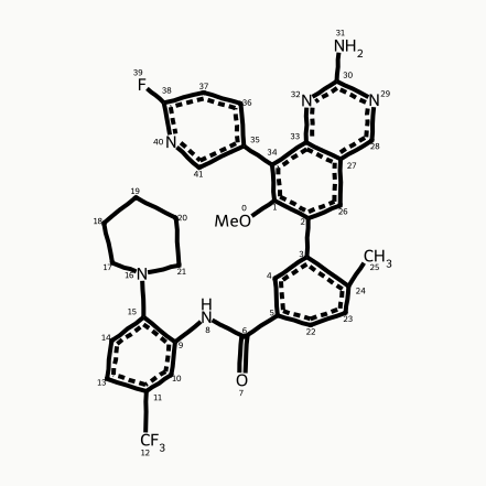 COc1c(-c2cc(C(=O)Nc3cc(C(F)(F)F)ccc3N3CCCCC3)ccc2C)cc2cnc(N)nc2c1-c1ccc(F)nc1